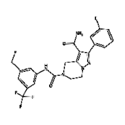 NC(=O)c1c(-c2cccc(F)c2)nn2c1CN(C(=O)Nc1cc(CF)cc(C(F)(F)F)c1)CC2